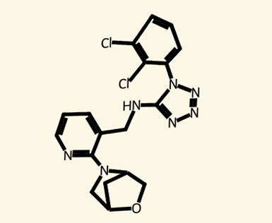 Clc1cccc(-n2nnnc2NCc2cccnc2N2CC3CC2CO3)c1Cl